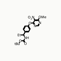 CCC(NC(=O)OC(C)(C)C)c1ccc(Oc2ncnc(OC)c2[N+](=O)[O-])cc1